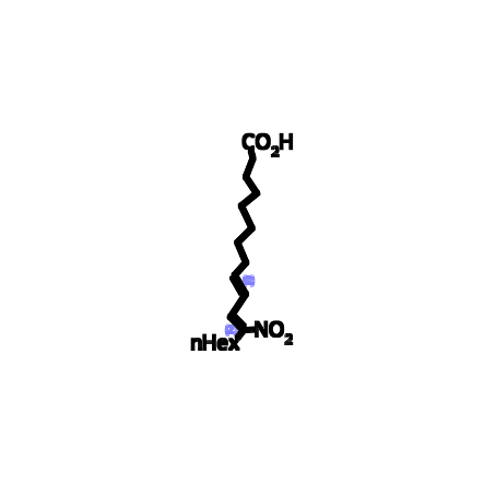 CCCCCC/C(=C/C=C/CCCCCCCC(=O)O)[N+](=O)[O-]